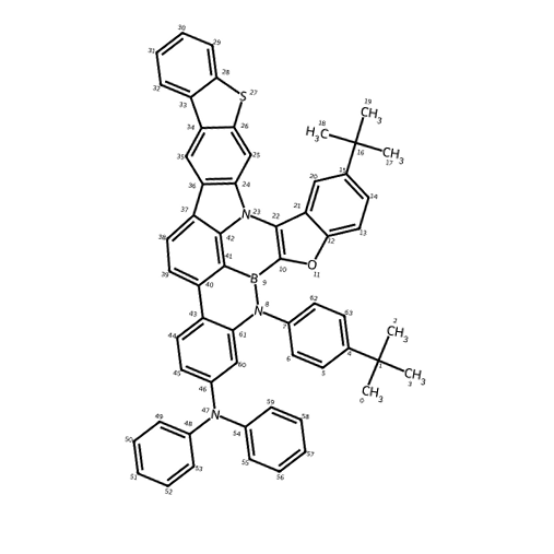 CC(C)(C)c1ccc(N2B3c4oc5ccc(C(C)(C)C)cc5c4-n4c5cc6sc7ccccc7c6cc5c5ccc(c3c54)-c3ccc(N(c4ccccc4)c4ccccc4)cc32)cc1